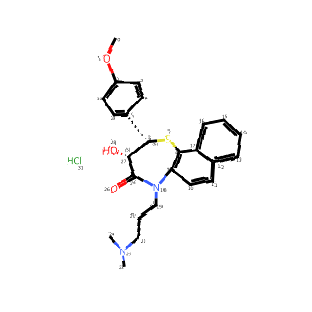 COc1ccc([C@@H]2Sc3c(ccc4ccccc34)N(CCCN(C)C)C(=O)[C@@H]2O)cc1.Cl